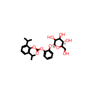 CC(C)c1cccc(C(C)C)c1OC(=O)Oc1ccccc1O[C@H]1OC(CO)[C@@H](O)C(O)C1O